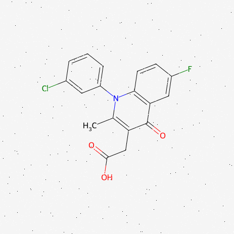 Cc1c(CC(=O)O)c(=O)c2cc(F)ccc2n1-c1cccc(Cl)c1